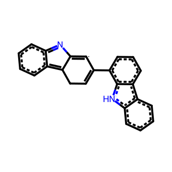 [C]1=C2N=c3ccccc3=C2CC=C1c1cccc2c1[nH]c1ccccc12